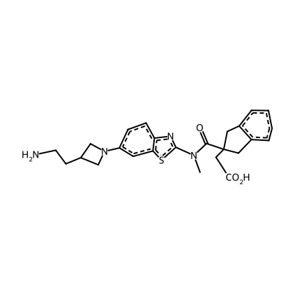 CN(C(=O)C1(CC(=O)O)Cc2ccccc2C1)c1nc2ccc(N3CC(CCN)C3)cc2s1